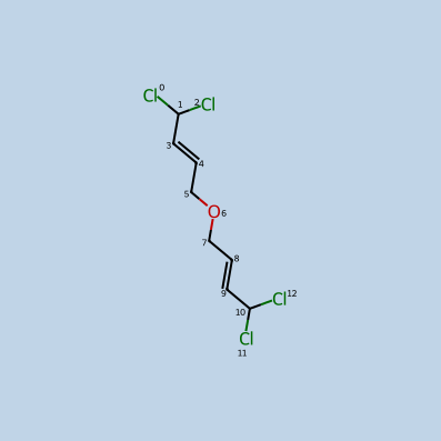 ClC(Cl)C=CCOCC=CC(Cl)Cl